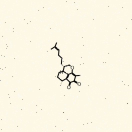 CC(C)=CCCC[C@@H]1COC2=C(C)C(=O)C(=O)C3=C2[C@H]1CC[C@H]3C